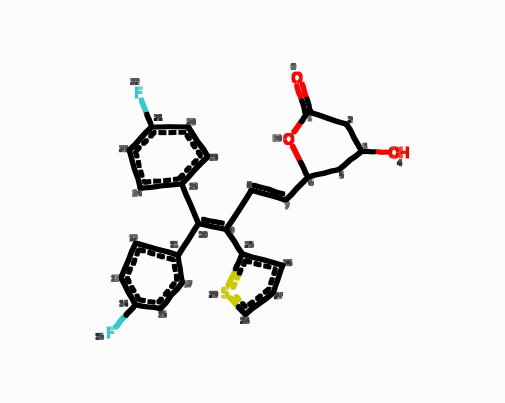 O=C1CC(O)CC(/C=C/C(=C(c2ccc(F)cc2)c2ccc(F)cc2)c2cccs2)O1